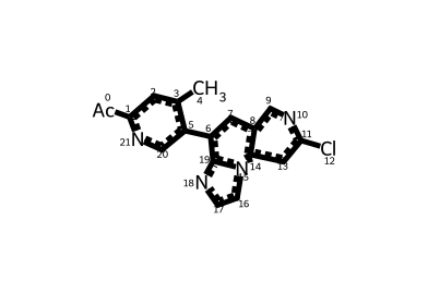 CC(=O)c1cc(C)c(-c2cc3cnc(Cl)cc3n3ccnc23)cn1